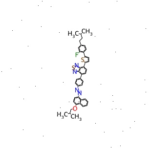 CC(C)CCc1ccc(-c2ccc(-c3ccc(-c4ccc(/N=N/c5ccc(OCC(C)C)c6ccccc56)cc4)c4nsnc34)s2)c(F)c1